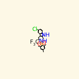 Cc1cc(C)c(S(=O)(=O)NC(Cc2c(C)[nH]c3ccc(Cl)cc23)C(F)(F)F)c(C)c1